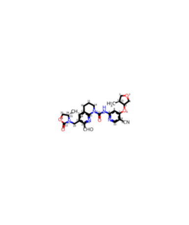 C[C@H]1COCC1Oc1cc(NC(=O)N2CCCc3cc(CN4C(=O)OC[C@@H]4C)c(C=O)nc32)ncc1C#N